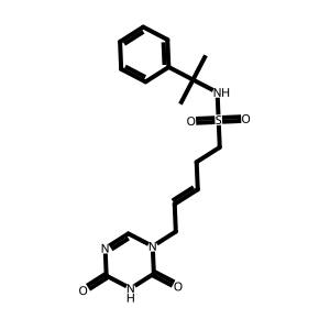 CC(C)(NS(=O)(=O)CC/C=C/Cn1cnc(=O)[nH]c1=O)c1ccccc1